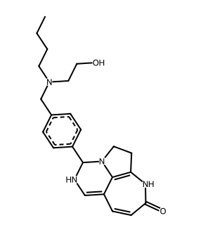 CCCCN(CCO)Cc1ccc(C2NC=C3C=CC(=O)NC4=C3N2CC4)cc1